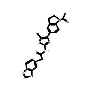 CC(=O)N1CCc2cc(-c3nc(NC(=O)Cc4ccc5c(c4)OCO5)sc3C)ccc21